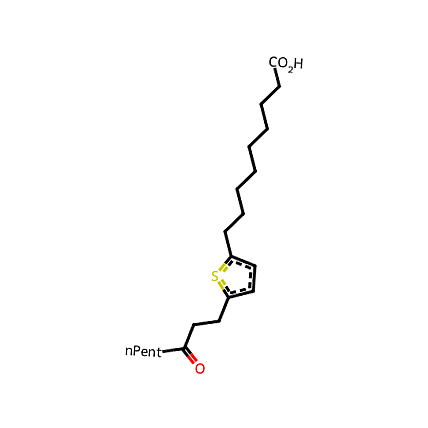 CCCCCC(=O)CCc1ccc(CCCCCCCCC(=O)O)s1